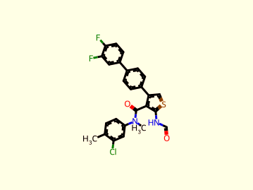 Cc1ccc(N(C)C(=O)c2c(-c3ccc(-c4ccc(F)c(F)c4)cc3)csc2NC=O)cc1Cl